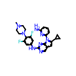 CN1CCN(c2c(F)cc(Nc3ncc4cc(C5CC5)n(-c5cccc(N)n5)c4n3)cc2F)CC1